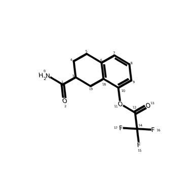 NC(=O)C1CCc2cccc(OC(=O)C(F)(F)F)c2C1